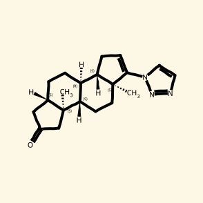 C[C@]12CC(=O)C[C@@H]1CC[C@@H]1[C@@H]2CC[C@]2(C)C(n3ccnn3)=CC[C@@H]12